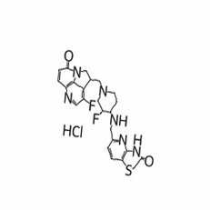 Cl.O=C1CSc2ccc(CN[C@@H]3CCN(CC4Cn5c(=O)ccc6ncc(F)c4c65)C[C@@H]3F)nc2N1